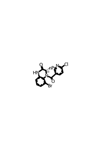 CCC[C@H]1C(=O)Nc2cccc(Br)c2N1C(=O)c1ccc(Cl)nc1